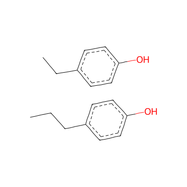 CCCc1ccc(O)cc1.CCc1ccc(O)cc1